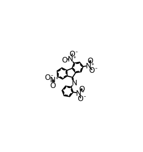 O=[N+]([O-])c1ccc2c(c1)C(=Nc1ccccc1[N+](=O)[O-])c1cc([N+](=O)[O-])cc([N+](=O)[O-])c1-2